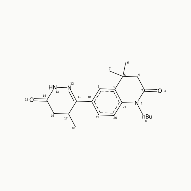 CCCCN1C(=O)CC(C)(C)c2cc(C3=NNC(=O)CC3C)ccc21